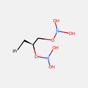 CC(C)C[C@@H](CON(O)O)ON(O)O